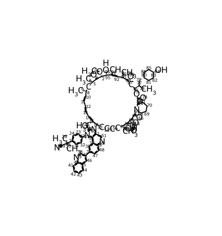 CO[C@H]1C(=O)[C@H](C)C[C@H](C)/C=C/C=C/C=C(/C)[C@H](n2c(=O)n(-c3ccc(C(C)(C)C#N)cc3)c3c4cc(-c5cnc6ccccc6c5)ccc4ncc32)CCCC[C@@H](C)[C@@](O)(N=O)C(=O)C(=O)N2CCCC[C@H]2C(=O)O[C@H](C(C)C[C@H]2CC[C@@H](O)CC2)CC(=O)[C@H](C)/C=C(\C)[C@H]1O